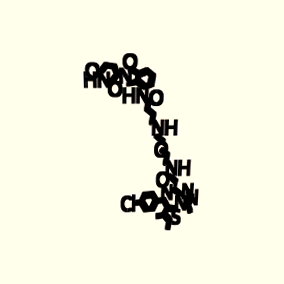 Cc1sc2c(c1C)C(c1ccc(Cl)cc1)=N[C@@H](CC(=O)NCCOCCNCCCC(=O)Nc1cccc3c1CN(C1CCC(=O)NC1=O)C3=O)c1nnc(C)n1-2